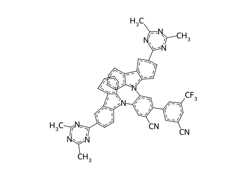 Cc1nc(C)nc(-c2ccc3c(c2)c2ccccc2n3-c2cc(C#N)c(-c3cc(C#N)cc(C(F)(F)F)c3)cc2-n2c3ccccc3c3cc(-c4nc(C)nc(C)n4)ccc32)n1